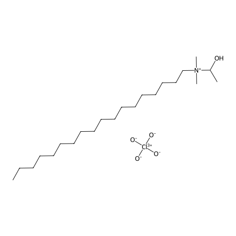 CCCCCCCCCCCCCCCCCC[N+](C)(C)C(C)O.[O-][Cl+3]([O-])([O-])[O-]